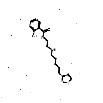 O=C(NCCNCCCCC[C@H]1CCSS1)c1ccccc1O